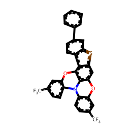 FC(F)(F)c1ccc2c(c1)Oc1cc3sc4cc(-c5ccccc5)ccc4c3c3c1N2c1ccc(C(F)(F)F)cc1O3